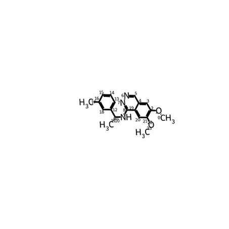 COc1cc2cnnc(N[C@H](C)c3cccc(C)c3)c2cc1OC